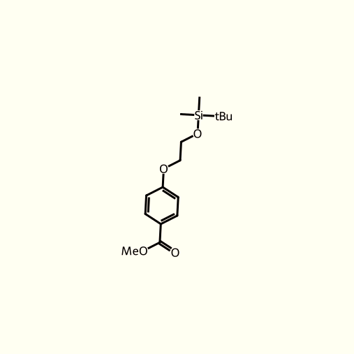 COC(=O)c1ccc(OCCO[Si](C)(C)C(C)(C)C)cc1